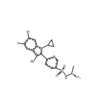 CCc1cc2c(cc1F)c(C#N)c(-c1ccc(S(=O)(=O)N[C@@H](C)C(F)(F)F)cn1)n2C1CC1